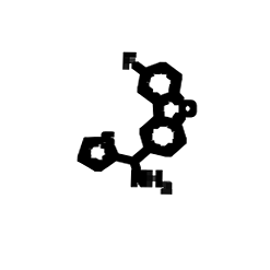 NC(c1ccc2oc3ccc(F)cc3c2c1)c1cccs1